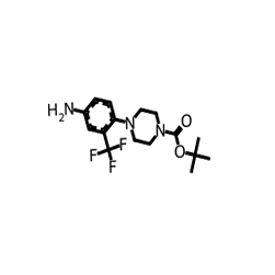 CC(C)(C)OC(=O)N1CCN(c2ccc(N)cc2C(F)(F)F)CC1